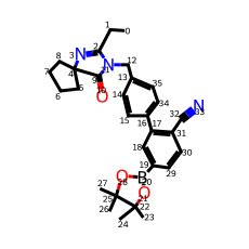 CCC1=NC2(CCCC2)C(=O)N1Cc1ccc(-c2cc(B3OC(C)(C)C(C)(C)O3)ccc2C#N)cc1